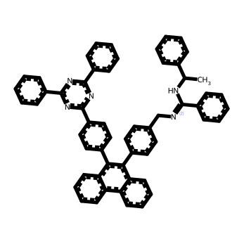 CC(N/C(=N\Cc1ccc(-c2c(-c3ccc(-c4nc(-c5ccccc5)nc(-c5ccccc5)n4)cc3)c3ccccc3c3ccccc23)cc1)c1ccccc1)c1ccccc1